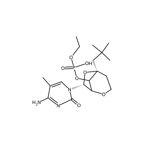 CCOP(=O)(O)OC1C2OCC[C@]1(CC(C)(C)C)O[C@H]2n1cc(C)c(N)nc1=O